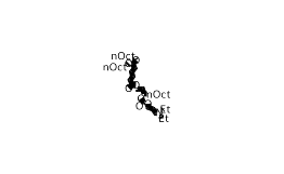 CCCCCCCCOC(CCCCC(=O)OCCC(CCCCCCCC)OC(=O)OCCCN(CC)CC)OCCCCCCCC